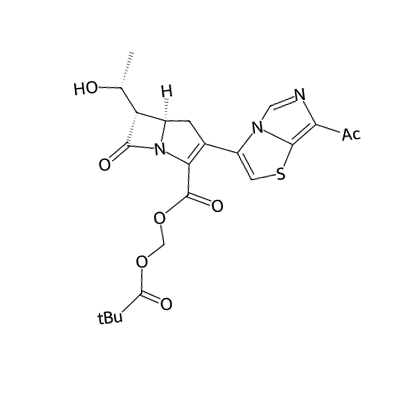 CC(=O)c1ncn2c(C3=C(C(=O)OCOC(=O)C(C)(C)C)N4C(=O)[C@H]([C@@H](C)O)[C@H]4C3)csc12